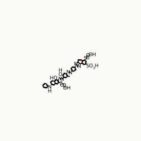 Cc1cc(N=Nc2c(SOOO)cc3cc(Nc4ccccc4)ccc3c2O)c(O)cc1N=Nc1ccc(-n2nc3ccc4c(SOOO)cc(S(=O)(=O)O)cc4c3n2)cc1